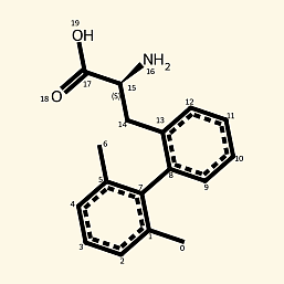 Cc1cccc(C)c1-c1ccccc1C[C@H](N)C(=O)O